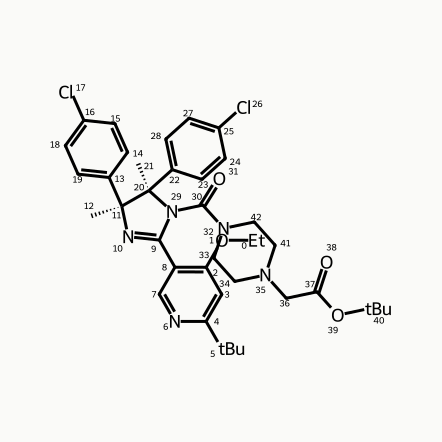 CCOc1cc(C(C)(C)C)ncc1C1=N[C@@](C)(c2ccc(Cl)cc2)[C@@](C)(c2ccc(Cl)cc2)N1C(=O)N1CCN(CC(=O)OC(C)(C)C)CC1